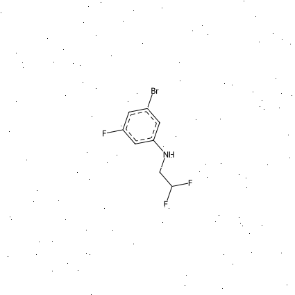 Fc1cc(Br)cc(NCC(F)F)c1